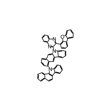 c1cc(-n2c3ccccc3c3ccc4ccccc4c32)c2cc3c4ccccc4n(-c4nc5ccccc5nc4-c4cccc5c4oc4ccccc45)c3cc2c1